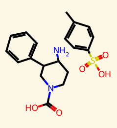 Cc1ccc(S(=O)(=O)O)cc1.NC1CCN(C(=O)O)CC1c1ccccc1